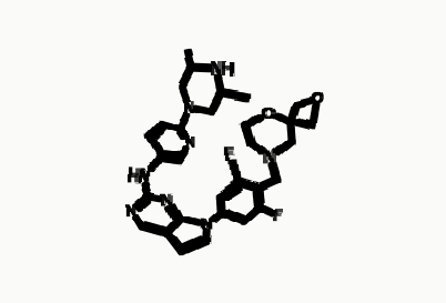 CC1CN(c2ccc(Nc3ncc4ccn(-c5cc(F)c(CN6CCOC7(COC7)C6)c(F)c5)c4n3)cn2)CC(C)N1